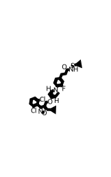 O=C(CCc1ccc(N2C[C@@H]3C[C@H]2C[C@H]3OCc2c(-c3c(Cl)cccc3Cl)noc2C2CC2)c(F)c1)NSC1CC1